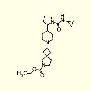 CCOC(=O)N1CCC2(CC(N3CCC(C4CCCN4C(=O)NC4CC4)CC3)C2)C1